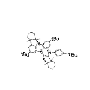 CC(C)(C)c1ccc(N2C3=C(SC4(C)CCCCC34C)B3c4cc(C(C)(C)C)cc5c4N(c4cc(C(C)(C)C)cc2c43)C2(C)CCCCC52C)cc1